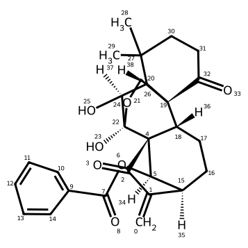 C=C1C(=O)[C@]23[C@H](OC(=O)c4ccccc4)[C@H]1CC[C@H]2[C@@]12CO[C@@]3(O)[C@@H](O)[C@@H]1C(C)(C)CCC2=O